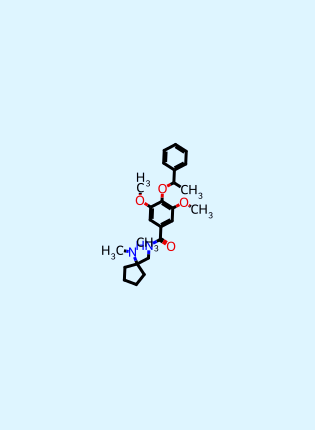 COc1cc(C(=O)NCC2(N(C)C)CCCC2)cc(OC)c1OC(C)c1ccccc1